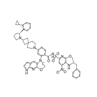 O=C(NS(=O)(=O)c1cc([N+](=O)[O-])c2c(n1)OCC(Cc1ccccc1)N2)c1ccc(N2CCC3(CC2)CC(N2CCC[C@H]2c2ccccc2C2CC2)C3)cc1N1CCOc2nc3[nH]ccc3cc21